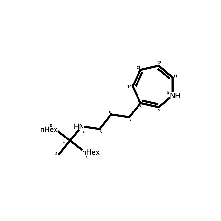 CCCCCCC(C)(CCCCCC)NCCCC1=CNC=CC=C1